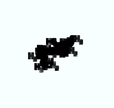 C#Cc1cc(C)c(-c2c(-c3ccc(Oc4nccc(C)n4)c(F)c3)c3c(N)ncnc3n2C)c(Cc2ccc(N3CC=C(c4c(-c5ccc(NC(=O)C(=C)C)cc5)n(C)c5ncnc(N)c45)CC3)cc2)n1